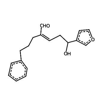 O=CC(=CCC(O)c1ccoc1)CCCc1ccccc1